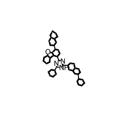 c1ccc(-c2ccc3ccc(C4=NC(c5ccc(-c6ccc7ccccc7c6)c6oc7ccccc7c56)=NC(c5ccccc5)N4)cc3c2)cc1